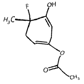 CC(=O)OC1=CCC(C)(F)C(O)=C1